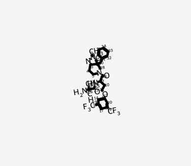 CN1N=C2CCN(C(=O)C(CCOc3cc(C(F)(F)F)cc(C(F)(F)F)c3)NC(=O)C(C)(C)N)CC2(Cc2ccccc2)C1=O